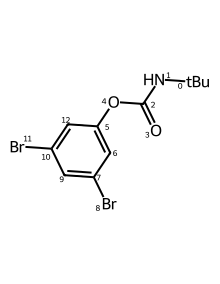 CC(C)(C)NC(=O)Oc1cc(Br)cc(Br)c1